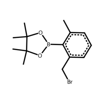 Cc1cccc(CBr)c1B1OC(C)(C)C(C)(C)O1